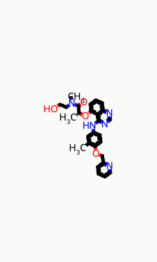 Cc1cc(Nc2ncnc3cccc(O[C@H](C)C(=O)N(C)CCO)c23)ccc1OCc1ccccn1